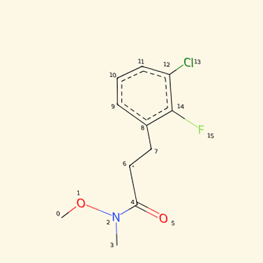 CON(C)C(=O)[CH]Cc1cccc(Cl)c1F